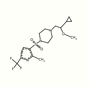 COC(CN1CCN(S(=O)(=O)c2ccc(C(F)(F)F)nc2C)CC1)C1CC1